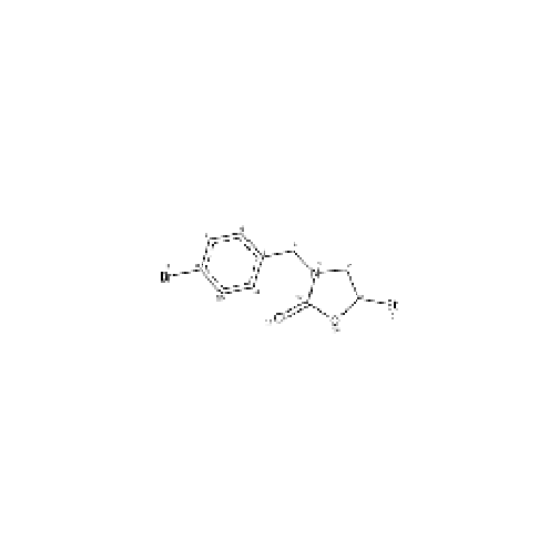 CCC1CN(Cc2ccc(Br)cc2)C(=O)O1